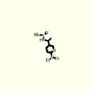 CCN(CC)c1ccc(C(C)N[S+]([O-])C(C)(C)C)cn1